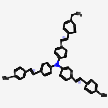 CC(C)(C)c1ccc(/C=C/c2ccc(N(c3ccc(/C=C/c4ccc(CC(F)(F)F)cc4)cc3)c3ccc(/C=C/c4ccc(C(C)(C)C)cc4)cc3)cc2)cc1